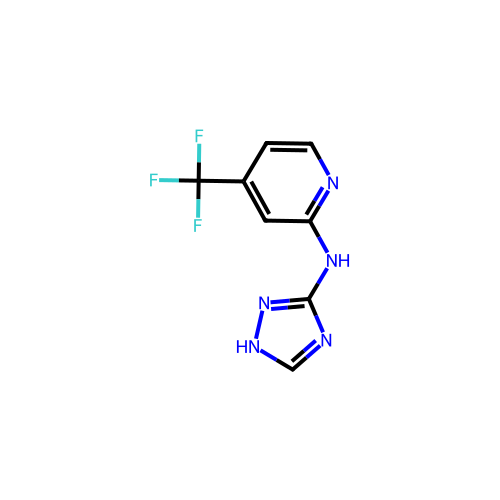 FC(F)(F)c1ccnc(Nc2nc[nH]n2)c1